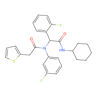 O=C(NC1CCCCC1)C(c1ccccc1F)N(C(=O)Cc1cccs1)c1cccc(F)c1